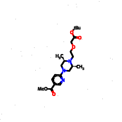 COC(=O)c1ccc(N2C[C@@H](C)N(CCOCC(=O)OC(C)(C)C)[C@@H](C)C2)nc1